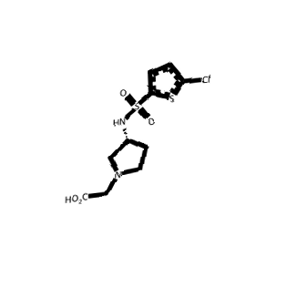 O=C(O)CN1CC[C@@H](NS(=O)(=O)c2ccc(Cl)s2)C1